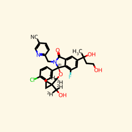 [2H]C([2H])(O)C1(C([2H])([2H])O[C@]2(c3ccc(Cl)cc3)c3c(F)cc(C(C)(O)CCO)cc3C(=O)N2Cc2ccc(C#N)cn2)CC1